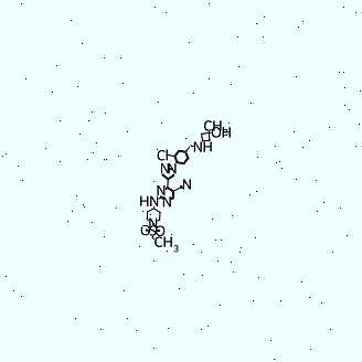 CCS(=O)(=O)N1CCC(Nc2ncc(C#N)c(-c3cnn(-c4ccc(CNC5CC(C)(O)C5)cc4Cl)c3)n2)CC1